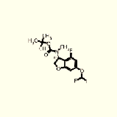 CN(C(=O)OC(C)(C)C)[C@H]1COc2cc(OC(F)F)cc(F)c21